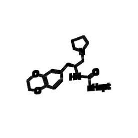 CCCCCCCC(=O)N[C@@H](Cc1ccc2c(c1)OCCO2)CN1CCCC1